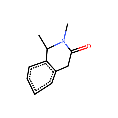 CC1c2ccccc2CC(=O)N1C